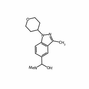 CNC(O)c1ccc2c(c1)c(C)nn2C1CCOCC1